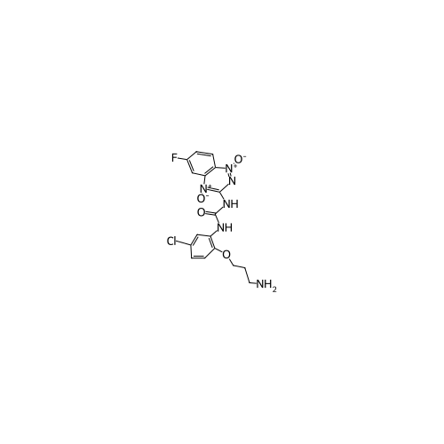 NCCCOc1ccc(Cl)cc1NC(=O)Nc1n[n+]([O-])c2ccc(F)cc2[n+]1[O-]